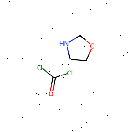 C1COCN1.O=C(Cl)Cl